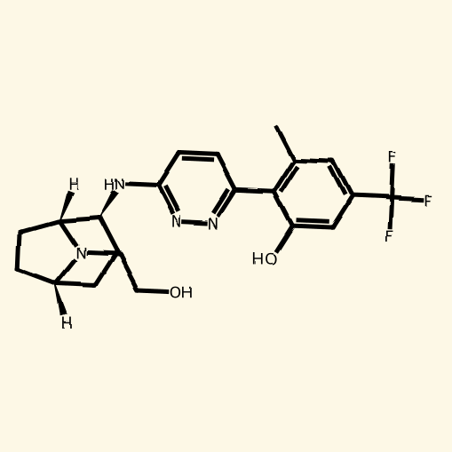 Cc1cc(C(F)(F)F)cc(O)c1-c1ccc(N[C@H]2CC[C@@H]3CC[C@H]2N3CCO)nn1